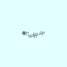 CCC(CC)(c1ccc(C#CC2(O)CCCC2)c(C)c1)c1ccc(OCCCCc2nnn[nH]2)c(C)c1